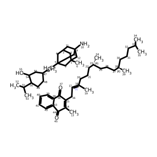 CC12CC3CC(C)(C1)CC(N)(C3)C2.CC1=C(C/C=C(\C)CCC[C@H](C)CCC[C@H](C)CCCC(C)C)C(=O)c2ccccc2C1=O.CC1CCC(C(C)C)C(O)C1